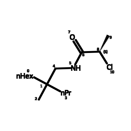 CCCCCCC(C)(CCC)CNC(=O)[C@H](C)Cl